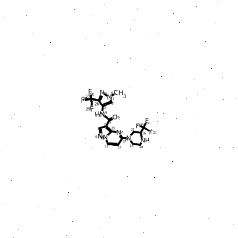 Cn1cc(NC(=O)c2cnn3ccc(N4CCNC(C(F)(F)F)C4)nc23)c(C(F)(F)F)n1